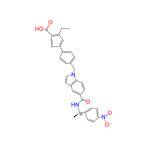 CCc1cc(-c2ccc(Cn3ccc4cc(C(=O)N[C@H](C)c5ccc([N+](=O)[O-])cc5)ccc43)cc2)ccc1C(=O)O